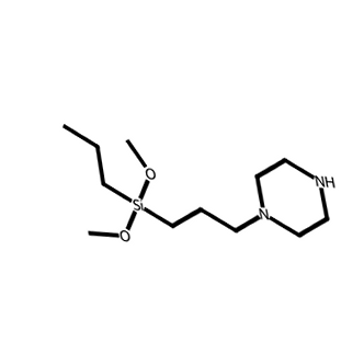 CCC[Si](CCCN1CCNCC1)(OC)OC